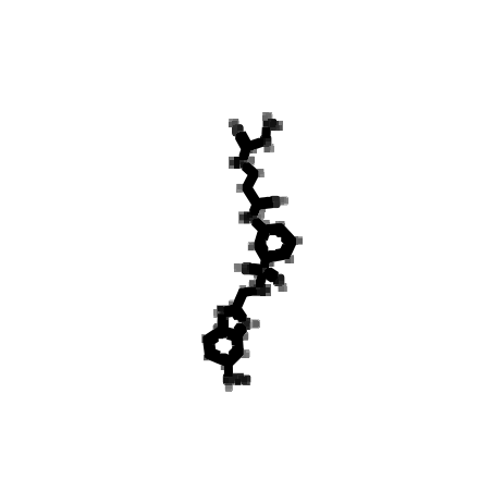 COc1ccc2nc(CNS(=O)(=O)c3cccc(NC(=O)CCNC(=O)OC(C)(C)C)c3)sc2c1